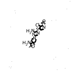 C[C@@H]1OCC2(CCN(c3cnc(Sc4ccnc(P(C)(C)=O)c4Cl)c(N)n3)CC2)[C@@H]1N